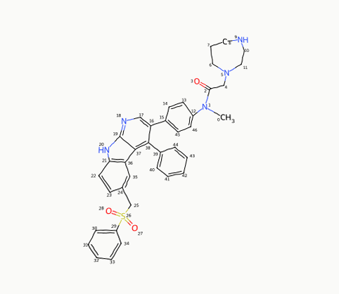 CN(C(=O)CN1CCCNCC1)c1ccc(-c2cnc3[nH]c4ccc(CS(=O)(=O)c5ccccc5)cc4c3c2-c2ccccc2)cc1